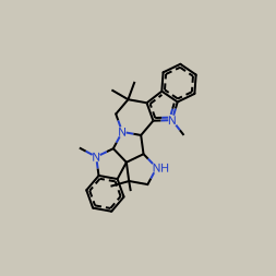 CN1c2ccccc2C23C(NCC2(C)C)C2c4c(c5ccccc5n4C)C(C)(C)CN2C13